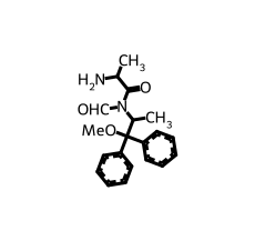 COC(c1ccccc1)(c1ccccc1)C(C)N(C=O)C(=O)C(C)N